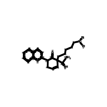 CCN(CC)CCCCCC1(C(=N)N)C=CCC(c2ccc3ccccc3n2)C1=O